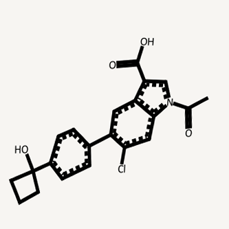 CC(=O)n1cc(C(=O)O)c2cc(-c3ccc(C4(O)CCC4)cc3)c(Cl)cc21